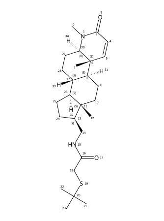 CN1C(=O)C=C[C@]2(C)[C@H]3CC[C@]4(C)[C@@H](CNC(=O)CSC(C)(C)C)CC[C@H]4[C@@H]3CC[C@@H]12